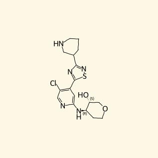 O[C@@H]1COCC[C@H]1Nc1cc(-c2nc(C3CCCNC3)ns2)c(Cl)cn1